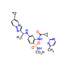 Cc1ccnc([C@H]2C[C@@H]2C(=O)Nc2cc(NC(C)c3cn4cc(C5CC5)ccc4n3)ccc2S(=O)(=O)NC(=O)O)n1